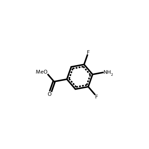 COC(=O)c1cc(F)c(N)c(F)c1